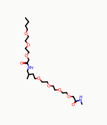 CCCCOCCOCCOCC(=O)NCC(C)CCOCCOCCOCCOCC(=O)NC